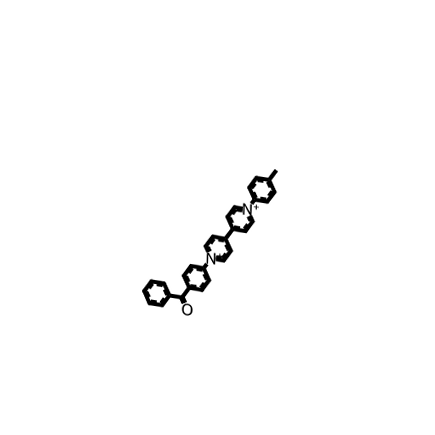 Cc1ccc(-[n+]2ccc(-c3cc[n+](-c4ccc(C(=O)c5ccccc5)cc4)cc3)cc2)cc1